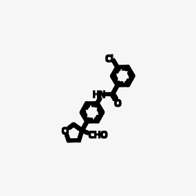 O=CC1(c2ccc(NC(=O)c3cccc(Cl)c3)cc2)CCOC1